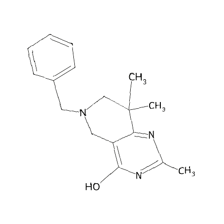 Cc1nc(O)c2c(n1)C(C)(C)CN(Cc1ccccc1)C2